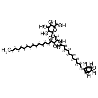 CCCCCCCCCCCCCC[C@@H](O)[C@@H](O)[C@H](COC1OC(CO)C(O)C(O)C1O)NC(=O)CCCCCCCCCC[C@H]1C[C@@H]2C[C@H]1[C@H]1O[C@@H]21